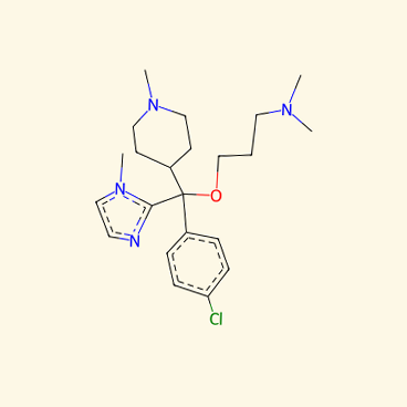 CN(C)CCCOC(c1ccc(Cl)cc1)(c1nccn1C)C1CCN(C)CC1